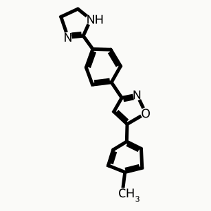 Cc1ccc(-c2cc(-c3ccc(C4=NCCN4)cc3)no2)cc1